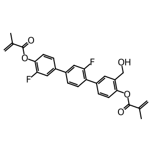 C=C(C)C(=O)Oc1ccc(-c2ccc(-c3ccc(OC(=O)C(=C)C)c(CO)c3)c(F)c2)cc1F